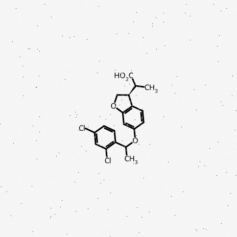 CC(Oc1ccc2c(c1)OC[C@H]2C(C)C(=O)O)c1ccc(Cl)cc1Cl